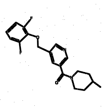 CC1CCN(C(=O)c2cncc(COc3c(F)cccc3F)c2)CC1